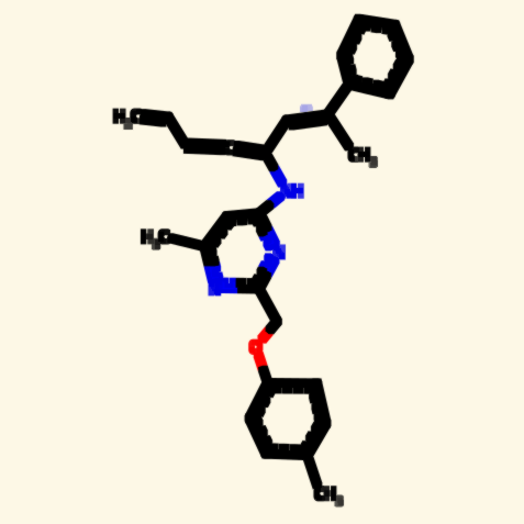 C=CC=C=C(/C=C(\C)c1ccccc1)Nc1cc(C)nc(COc2ccc(C)cc2)n1